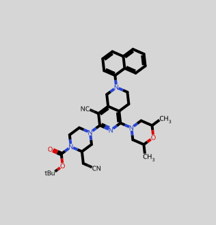 CC1CN(c2nc(N3CCN(C(=O)OC(C)(C)C)C(CC#N)C3)c(C#N)c3c2CCN(c2cccc4ccccc24)C3)CC(C)O1